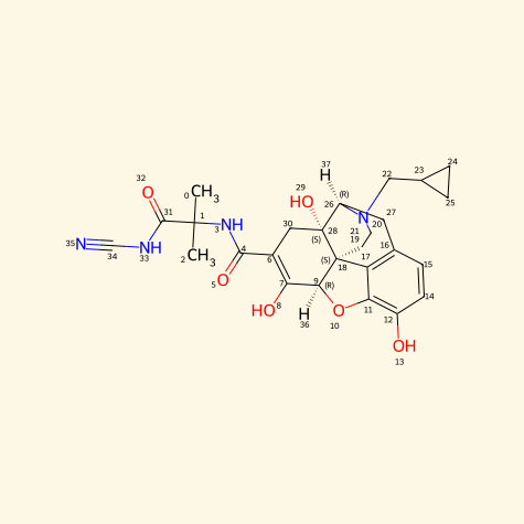 CC(C)(NC(=O)C1=C(O)[C@@H]2Oc3c(O)ccc4c3[C@@]23CCN(CC2CC2)[C@H](C4)[C@]3(O)C1)C(=O)NC#N